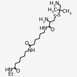 CCNC(=O)CCCCCNC(=O)CCCCCNC(=O)C(N)CSSC(C)(C)CN